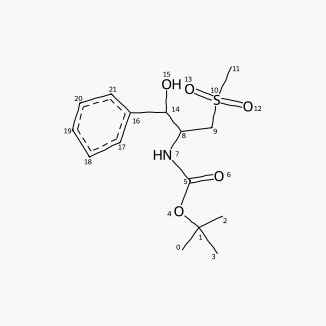 CC(C)(C)OC(=O)NC(CS(C)(=O)=O)C(O)c1ccccc1